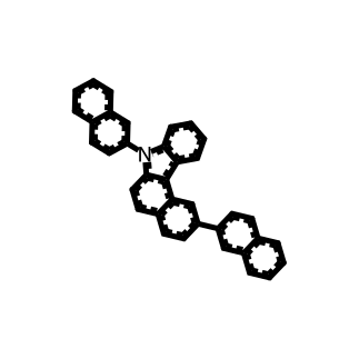 c1ccc2cc(-c3ccc4ccc5c(c4c3)c3ccccc3n5-c3ccc4ccccc4c3)ccc2c1